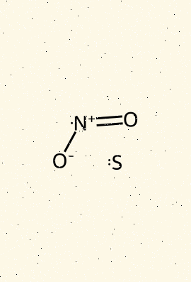 O=[N+][O-].[S]